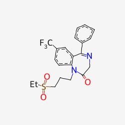 CCS(=O)(=O)CCCN1C(=O)CN=C(c2ccccc2)c2cc(C(F)(F)F)ccc21